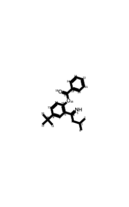 CC(C)CC(=N)c1cc(C(C)(C)C)ccc1OC(=O)c1ccccc1